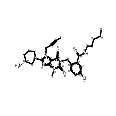 CC#CCn1c(N2CCC[C@@H](N)C2)nc2c1c(=O)n(Cc1ccc(Cl)cc1C(=O)NCCCCC)c(=O)n2C